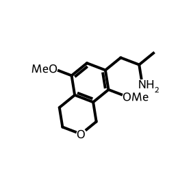 COc1cc(CC(C)N)c(OC)c2c1CCOC2